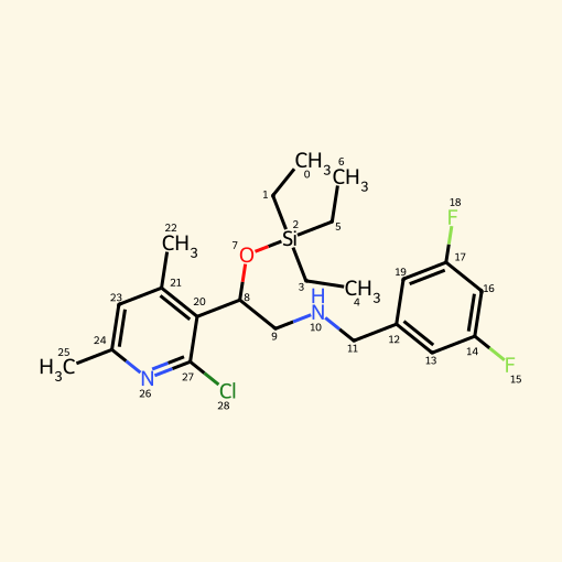 CC[Si](CC)(CC)OC(CNCc1cc(F)cc(F)c1)c1c(C)cc(C)nc1Cl